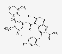 C[C@@H]1CN(CC(=O)N2c3cc(Cc4ccc(F)cc4F)c(C(N)=O)nc3OC[C@@H]2C)[C@@H](CN2[C@H](C)COC[C@H]2C)CN1C(=O)O